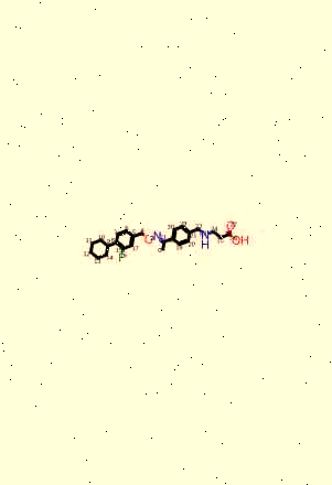 C/C(=N\OCc1ccc(C2CCCCC2)c(F)c1)c1ccc(CNCCC(=O)O)cc1